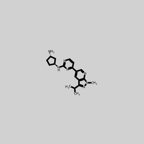 CC(C)c1nn(C)c2ncc(-c3ccnc(N[C@H]4CC[C@H](N)C4)n3)cc12